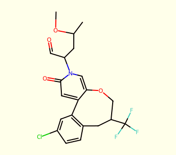 COC(C)CC(C=O)n1cc2c(cc1=O)-c1cc(Cl)ccc1CC(C(F)(F)F)CO2